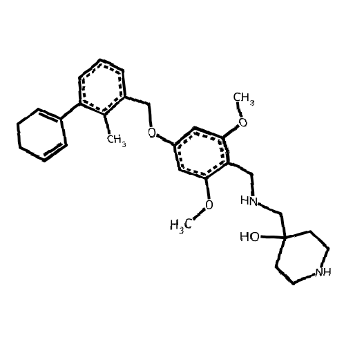 COc1cc(OCc2cccc(C3=CCCC=C3)c2C)cc(OC)c1CNCC1(O)CCNCC1